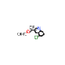 O=COCC(c1cnc2cccc(Cl)c2c1)C(F)(F)F